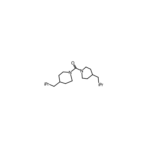 CC(C)CC1CCN(C(=O)N2CCC(CC(C)C)CC2)CC1